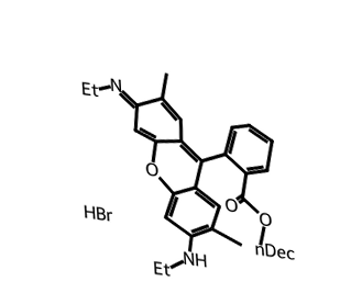 Br.CCCCCCCCCCOC(=O)c1ccccc1-c1c2cc(C)/c(=N/CC)cc-2oc2cc(NCC)c(C)cc12